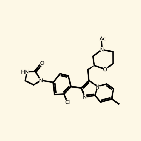 CC(=O)N1CCO[C@@H](Cc2c(-c3ccc(N4CCNC4=O)cc3Cl)nc3cc(C)ccn23)C1